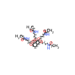 C=CC(=O)NCCCCOc1cc2cccc(OCCCCNC(=O)C=C)c(=O)c2c(OCCCCNC(=O)C=C)c1OCCCCNC(=O)C=C